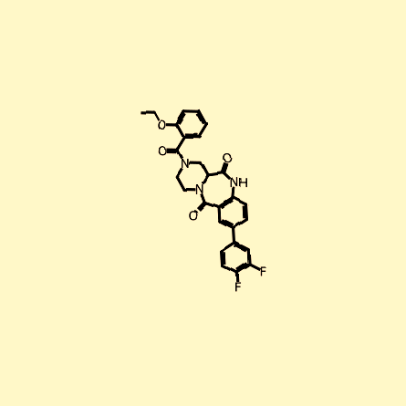 CCOc1ccccc1C(=O)N1CCN2C(=O)c3cc(-c4ccc(F)c(F)c4)ccc3NC(=O)C2C1